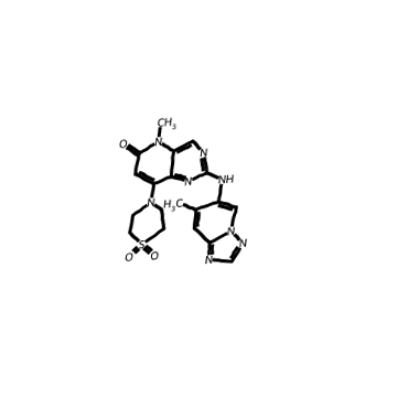 Cc1cc2ncnn2cc1Nc1ncc2c(n1)c(N1CCS(=O)(=O)CC1)cc(=O)n2C